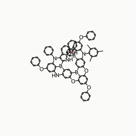 Cc1cc(C)c(N2c3cc4c(cc3B3c5[nH]c6ccccc6c5Oc5cc(Oc6ccccc6)cc2c53)B2c3cc5c(cc3Oc3cc(Oc6ccccc6)cc(c32)O4)Nc2cc(Oc3ccccc3)cc3c2B5c2[nH]c4ccccc4c2N3c2ccccc2)c(C)c1